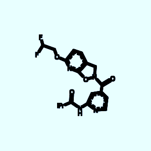 CC(C)C(=O)Nc1cc(C(=O)N2Cc3ccc(OCC(F)F)nc3O2)ccn1